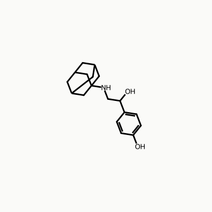 Oc1ccc(C(O)CNC23CC4CC(CC(C4)C2)C3)cc1